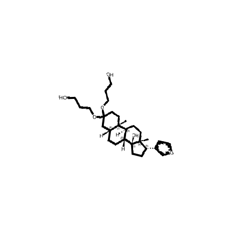 C[C@]12CCC(OCCCO)(OCCCO)C[C@H]1CC[C@@H]1[C@@H]2CC[C@]2(C)[C@H](c3ccoc3)CC[C@]12O